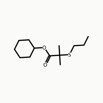 CCCSC(C)(C)C(=O)OC1CCCCC1